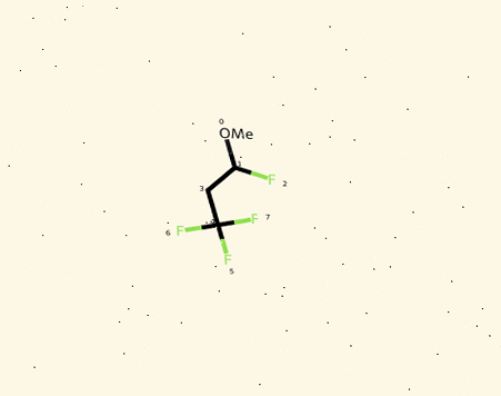 COC(F)CC(F)(F)F